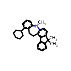 CN1c2cccc(C3CCCCC3)c2CCc2c1ccc1c2-c2ccccc2C1(C)C